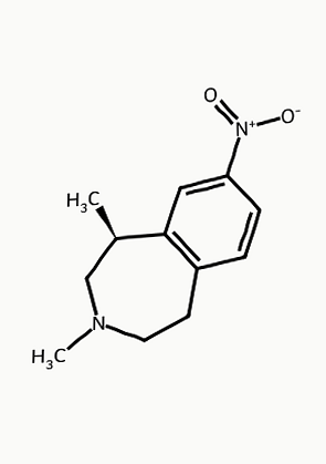 C[C@@H]1CN(C)CCc2ccc([N+](=O)[O-])cc21